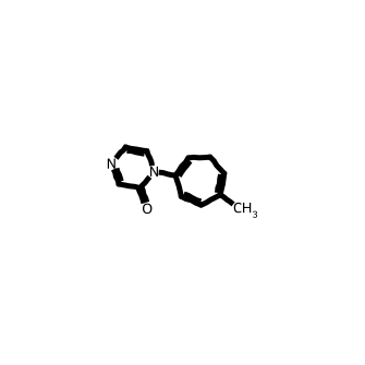 CC1=CCC=C(n2ccncc2=O)C=C1